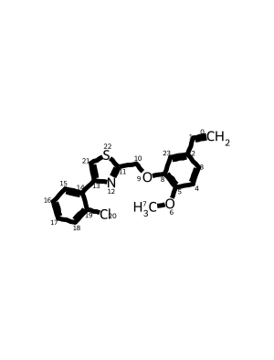 C=Cc1ccc(OC)c(OCc2nc(-c3ccccc3Cl)cs2)c1